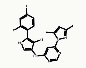 Cc1cc(C)n(-c2cc(Nc3n[nH]c(-c4ccc(F)cc4F)c3Cl)ncn2)n1